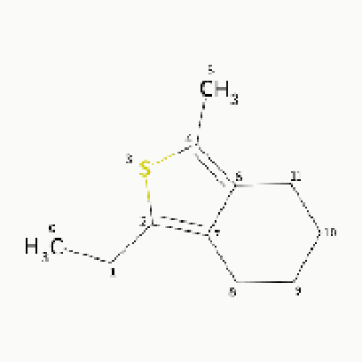 CCc1sc(C)c2c1CCCC2